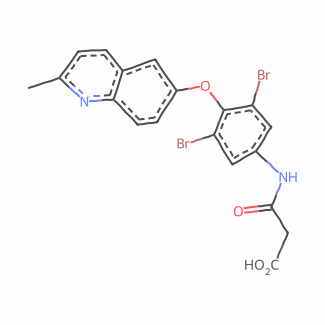 Cc1ccc2cc(Oc3c(Br)cc(NC(=O)CC(=O)O)cc3Br)ccc2n1